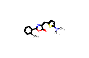 COc1ccccc1C1=NC(=Cc2ccc(N(C)C)s2)C(=O)O1